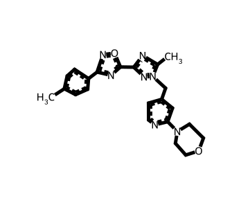 Cc1ccc(-c2noc(-c3nc(C)n(Cc4ccnc(N5CCOCC5)c4)n3)n2)cc1